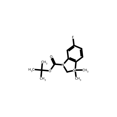 CC(C)(C)OC(=O)N1C[Si](C)(C)c2ccc(F)cc21